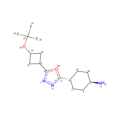 N[C@H]1CC[C@H](c2nnc(C3CC(OC(F)(F)F)C3)o2)CC1